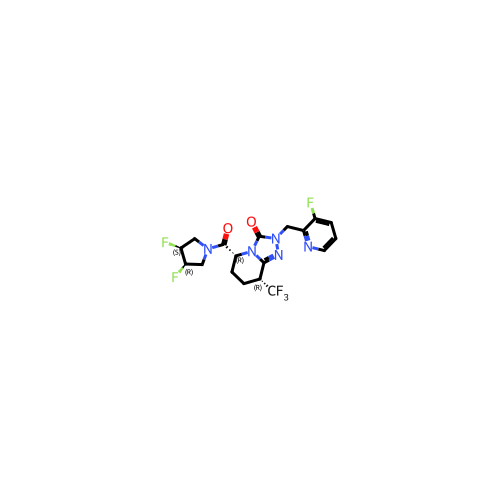 O=C([C@H]1CC[C@@H](C(F)(F)F)c2nn(Cc3ncccc3F)c(=O)n21)N1C[C@@H](F)[C@@H](F)C1